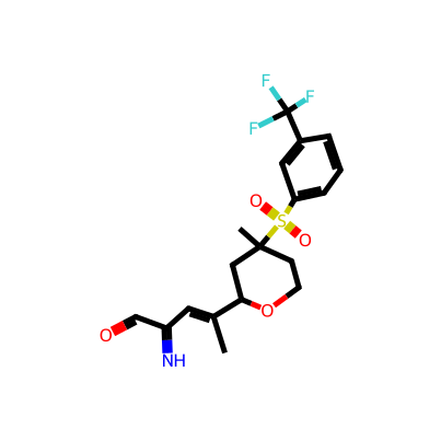 C/C(=C\C(=N)C=O)C1CC(C)(S(=O)(=O)c2cccc(C(F)(F)F)c2)CCO1